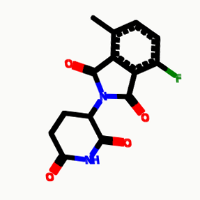 Cc1ccc(F)c2c1C(=O)N(C1CCC(=O)NC1=O)C2=O